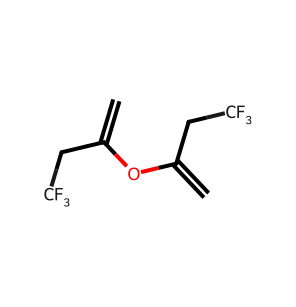 C=C(CC(F)(F)F)OC(=C)CC(F)(F)F